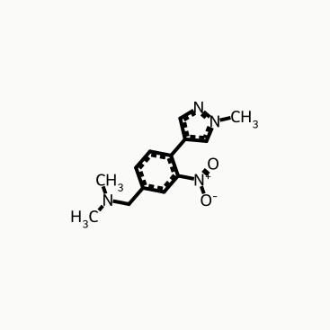 CN(C)Cc1ccc(-c2cnn(C)c2)c([N+](=O)[O-])c1